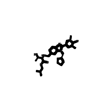 Cc1cc(-c2nc3ccc(CN[C@H](C(=O)OCC(C)C)[C@@H](C)O)cc3n2C[C@@H]2CCCO2)cn(C)c1=O